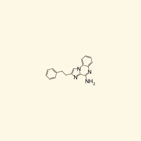 Nc1nc2ccccc2n2cc(CCc3ccccc3)nc12